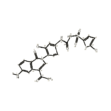 CNc1ccc2c(=O)n(-c3ccc(NC(=O)NS(=O)(=O)c4ccc(Cl)s4)cc3Cl)cc(C(N)=O)c2c1